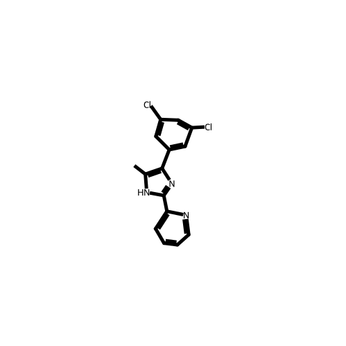 Cc1[nH]c(-c2ccccn2)nc1-c1cc(Cl)cc(Cl)c1